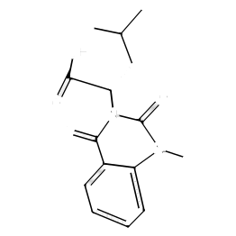 CC(C)C[C@@H](C(=O)O)n1c(=O)c2ccccc2n(C)c1=O